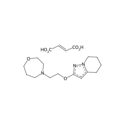 O=C(O)C=CC(=O)O.c1c(OCCN2CCCOCC2)nn2c1CCCC2